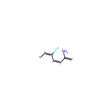 C=C(N)/C=C\C(F)=C/C